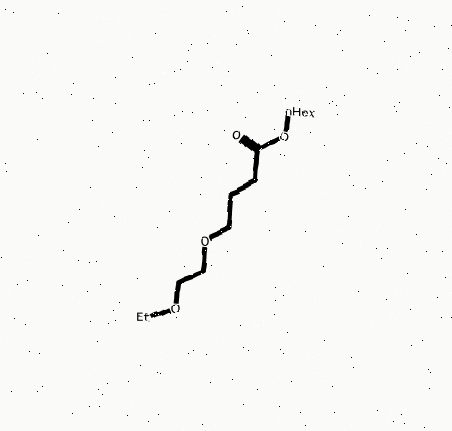 CCCCCCOC(=O)CCCOCCOCC